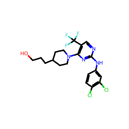 OCCCC1CCN(c2nc(Nc3ccc(Cl)c(Cl)c3)ncc2C(F)(F)F)CC1